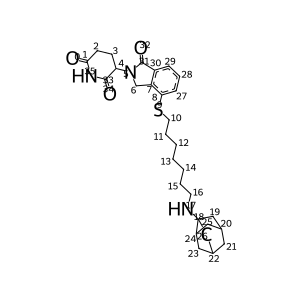 O=C1CCC(N2Cc3c(SCCCCCCCNC45CC6CC(CC4C6)C5)cccc3C2=O)C(=O)N1